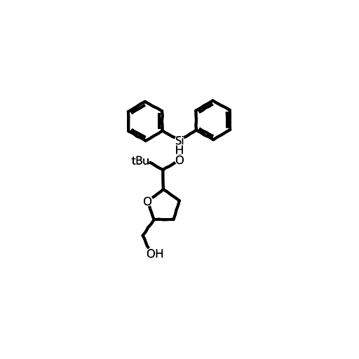 CC(C)(C)C(O[SiH](c1ccccc1)c1ccccc1)C1CCC(CO)O1